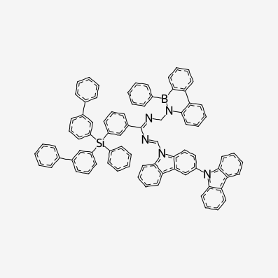 C(=N\C(=N/CN1B(c2ccccc2)c2ccccc2-c2ccccc21)c1cccc([Si](c2ccccc2)(c2cccc(-c3ccccc3)c2)c2cccc(-c3ccccc3)c2)c1)/n1c2ccccc2c2cc(-n3c4ccccc4c4ccccc43)ccc21